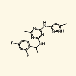 Cc1nc(Nc2cc(C)[nH]n2)nc(NC(C)c2ccc(F)cc2F)n1